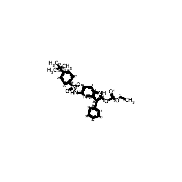 CCOC(=O)Oc1[nH]c2ccc(NS(=O)(=O)c3ccc(C(C)(C)C)cc3)nc2c1-c1ccccc1